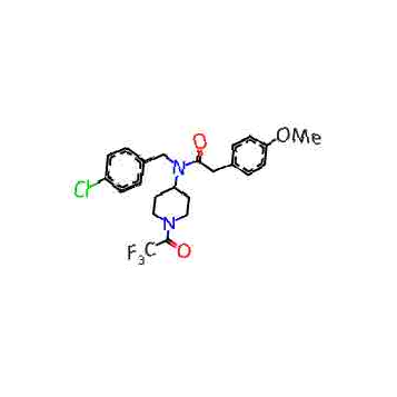 COc1ccc(CC(=O)N(Cc2ccc(Cl)cc2)C2CCN(C(=O)C(F)(F)F)CC2)cc1